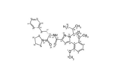 COc1cccc(OC)c1-c1cc(C(=O)N[C@@H](CCc2ccccc2)C(=O)N2CCCC2)nn1C(C)C(C)C